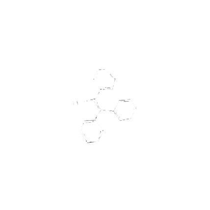 OC(=C(c1ccccc1)c1ccccc1)c1ccccc1